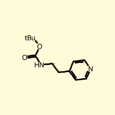 CC(C)(C)OC(=O)N[CH]Cc1ccncc1